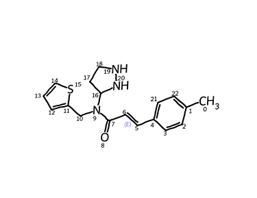 Cc1ccc(/C=C/C(=O)N(Cc2cccs2)C2CCNN2)cc1